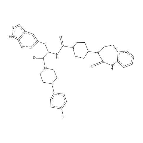 O=C(NC(Cc1ccc2[nH]ncc2c1)C(=O)N1CCC(c2ccc(F)cc2)CC1)N1CCC(N2CCc3ccccc3NC2=O)CC1